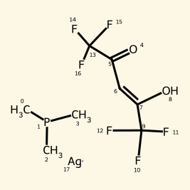 CP(C)C.O=C(C=C(O)C(F)(F)F)C(F)(F)F.[Ag]